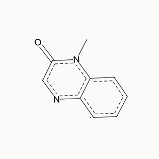 Cn1c(=O)cnc2[c]cccc21